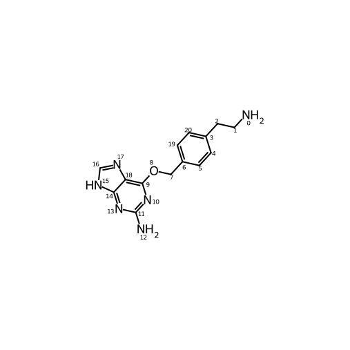 NCCc1ccc(COc2nc(N)nc3[nH]cnc23)cc1